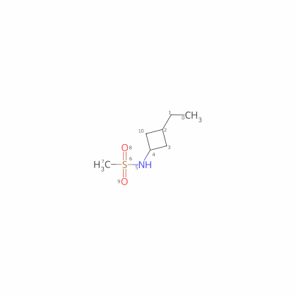 CCC1CC(NS(C)(=O)=O)C1